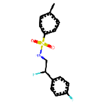 Cc1ccc(S(=O)(=O)NCC(F)c2ccc(F)cc2)cc1